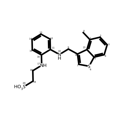 Cc1cccc2scc(CNc3ccccc3NCCS(=O)(=O)O)c12